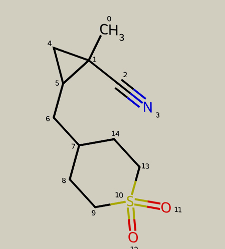 CC1(C#N)CC1CC1CCS(=O)(=O)CC1